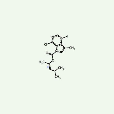 C/C(=C/C(C)C)OC(=O)n1cc(C)c2c(I)cnc(Cl)c21